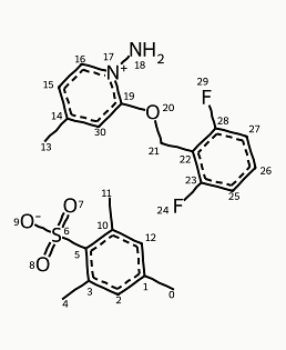 Cc1cc(C)c(S(=O)(=O)[O-])c(C)c1.Cc1cc[n+](N)c(OCc2c(F)cccc2F)c1